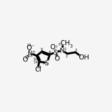 CN(CCO)S(=O)(=O)c1cc([N+](=O)[O-])c(Cl)s1